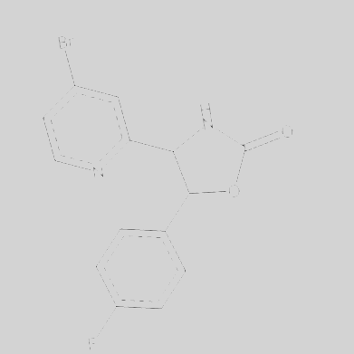 O=C1NC(c2cc(Br)ccn2)C(c2ccc(F)cc2)O1